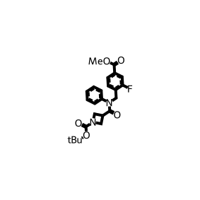 COC(=O)c1ccc(CN(C(=O)C2CN(C(=O)OC(C)(C)C)C2)c2ccccc2)c(F)c1